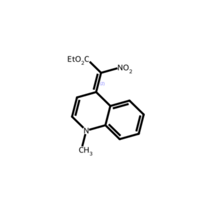 CCOC(=O)/C(=C1\C=CN(C)c2ccccc21)[N+](=O)[O-]